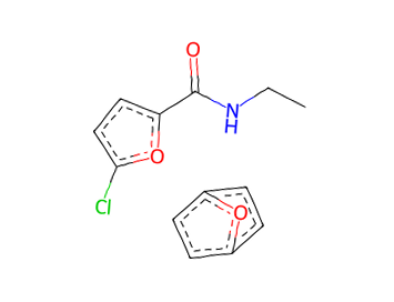 CCNC(=O)c1ccc(Cl)o1.c1cc2ccc1o2